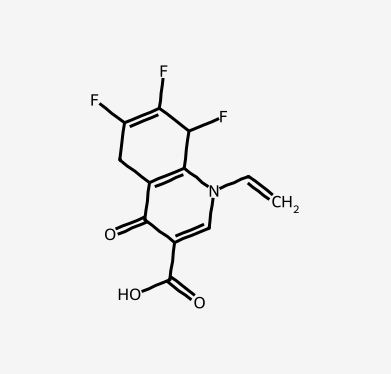 C=Cn1cc(C(=O)O)c(=O)c2c1C(F)C(F)=C(F)C2